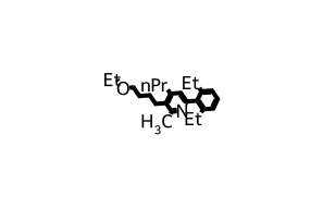 CCCc1cc(-c2c(CC)cccc2CC)nc(C)c1CCCCOCC